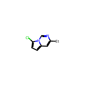 [CH2]Cc1cc2ccc(Cl)n2cn1